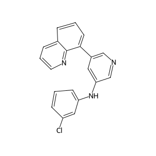 Clc1cccc(Nc2cncc(-c3cccc4cccnc34)c2)c1